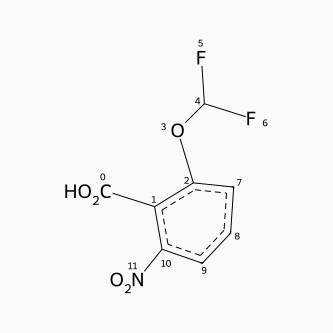 O=C(O)c1c(OC(F)F)cccc1[N+](=O)[O-]